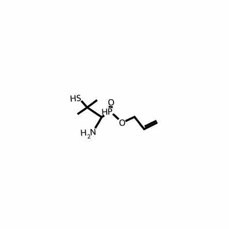 C=CCO[PH](=O)C(N)C(C)(C)S